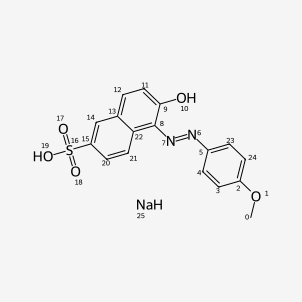 COc1ccc(N=Nc2c(O)ccc3cc(S(=O)(=O)O)ccc23)cc1.[NaH]